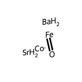 [BaH2].[Co].[O]=[Fe].[SrH2]